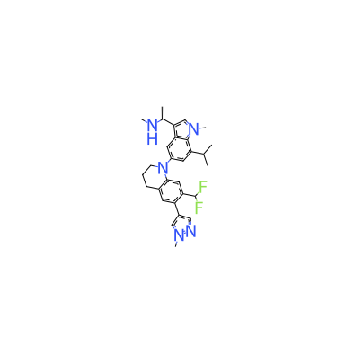 C=C(NC)c1cn(C)c2c(C(C)C)cc(N3CCCc4cc(-c5cnn(C)c5)c(C(F)F)cc43)cc12